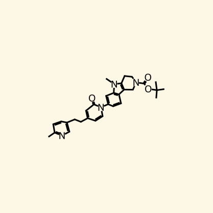 Cc1ccc(CCc2ccn(-c3ccc4c5c(n(C)c4c3)CCN(C(=O)OC(C)(C)C)C5)c(=O)c2)cn1